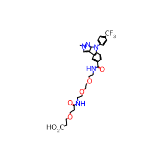 Cn1cc2c3cc(C(=O)NCCOCCOCCNC(=O)CCOCCC(=O)O)ccc3n(-c3ccc(C(F)(F)F)cc3)c2n1